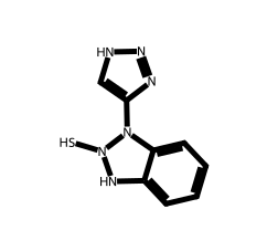 SN1Nc2ccccc2N1c1c[nH]nn1